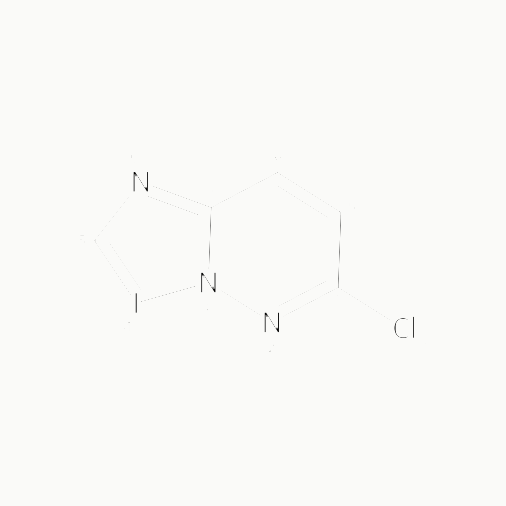 ClC1=NN2I=CN=C2C=C1